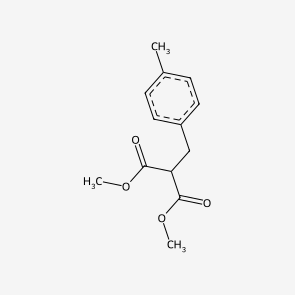 COC(=O)C(Cc1ccc(C)cc1)C(=O)OC